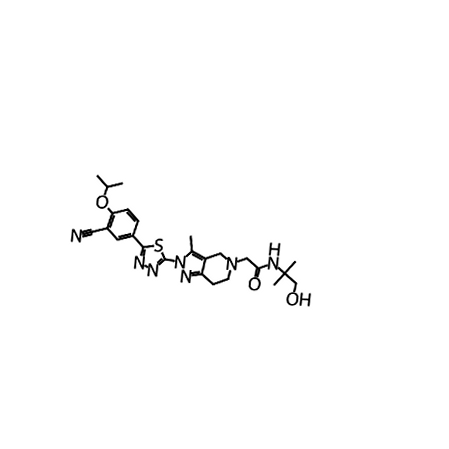 Cc1c2c(nn1-c1nnc(-c3ccc(OC(C)C)c(C#N)c3)s1)CCN(CC(=O)NC(C)(C)CO)C2